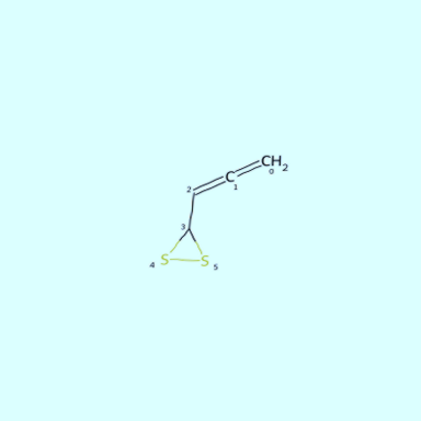 C=C=CC1SS1